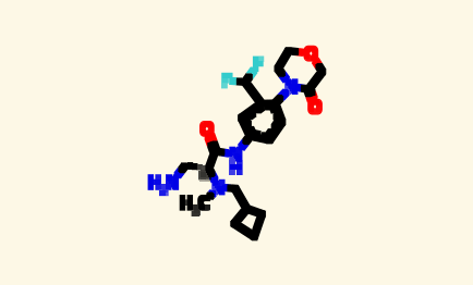 CN(CC1CCC1)[C@H](CN)C(=O)Nc1ccc(N2CCOCC2=O)c(C(F)F)c1